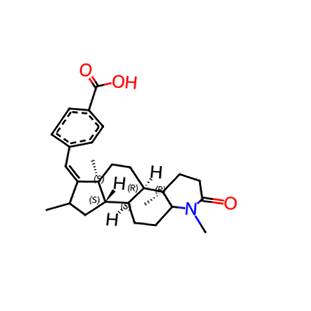 CC1C[C@H]2[C@@H]3CCC4N(C)C(=O)CC[C@]4(C)[C@@H]3CC[C@]2(C)C1=Cc1ccc(C(=O)O)cc1